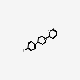 Fc1ccc(C2CCN(c3ccc[c]n3)CC2)cc1